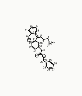 CN(C)CCC=C1c2ccccc2COc2ccc(CC(=O)OCc3ccccc3)cc21